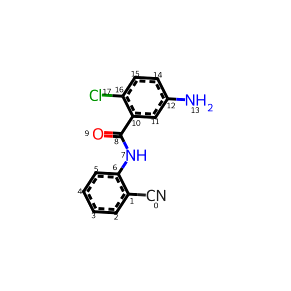 N#Cc1ccccc1NC(=O)c1cc(N)ccc1Cl